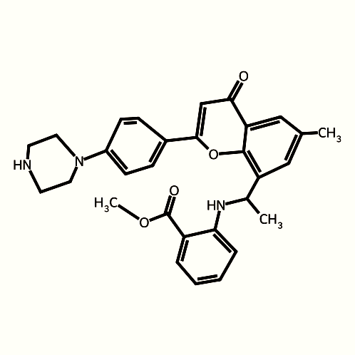 COC(=O)c1ccccc1NC(C)c1cc(C)cc2c(=O)cc(-c3ccc(N4CCNCC4)cc3)oc12